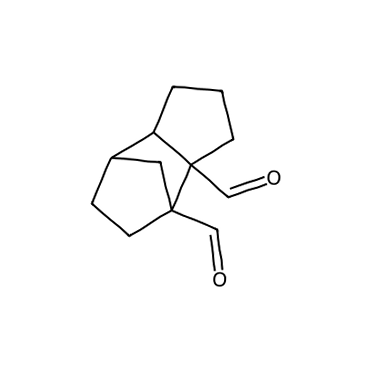 O=CC12CCC(C1)C1CCCC12C=O